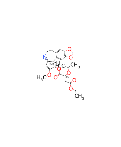 CCOC(=O)C[C@@H](OC(C)C)C(=O)OC1C(OC)=CC23CCCN2CCc2cc4c(cc2[C@H]13)OCO4